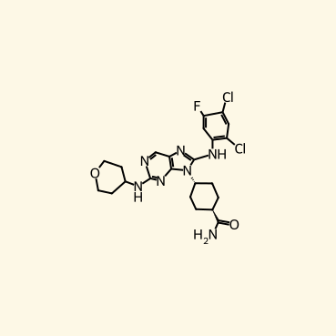 NC(=O)[C@H]1CC[C@H](n2c(Nc3cc(F)c(Cl)cc3Cl)nc3cnc(NC4CCOCC4)nc32)CC1